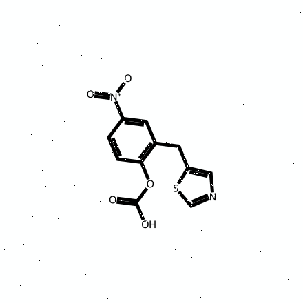 O=C(O)Oc1ccc([N+](=O)[O-])cc1Cc1cncs1